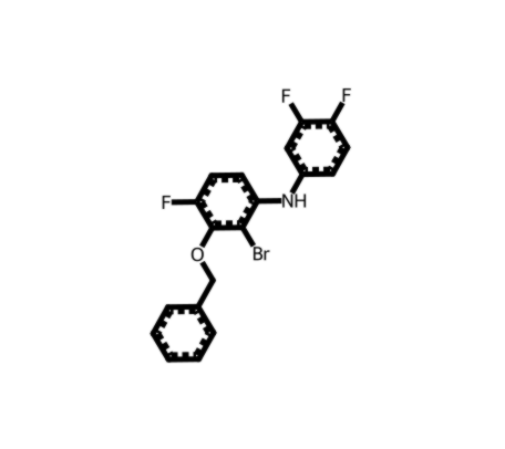 Fc1ccc(Nc2ccc(F)c(OCc3ccccc3)c2Br)cc1F